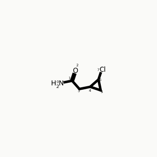 NC(=O)CC1CC1Cl